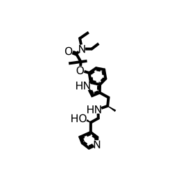 CCN(CC)C(=O)C(C)(C)Oc1cccc2c(C[C@@H](C)NC[C@H](O)c3cccnc3)c[nH]c12